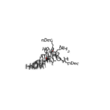 CCCCCCCCCCCCCCCC(=O)C(CCCN)C(C(=O)O)(C(=O)CCCCCCCCCCCCCCC)N(C(=O)CCCCCCCCCCCCCCC)C(=O)C(CO)NC(=O)C(N)CSCC(O)CO